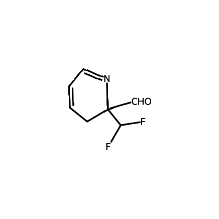 O=CC1(C(F)F)CC=CC=N1